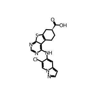 O=C(O)[C@H]1CCc2c(sc3ncnc(Nc4cc5ccnn5cc4Cl)c23)C1